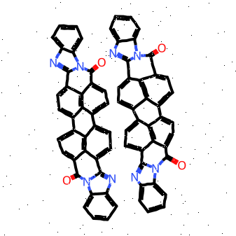 O=c1c2ccc3c4ccc5c(=O)n6c7ccccc7nc6c6ccc(c7ccc(c2c37)c2nc3ccccc3n12)c4c56.O=c1c2ccc3c4ccc5c6c(ccc(c7ccc(c2c37)c2nc3ccccc3n12)c46)c(=O)n1c2ccccc2nc51